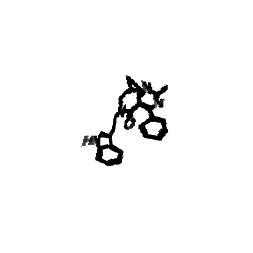 Cc1ncc(C(=O)N(CCc2c[nH]c3ccccc23)CC2CC2)c(-c2ccccc2)n1